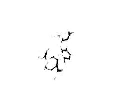 Cc1cc(Nc2nc(C[C@@]3(C(=O)OC(C)(C)C)CCN(C(=O)OC(C)(C)C)[C@H](C)C3)ccc2F)n(C(C)(C)C)n1